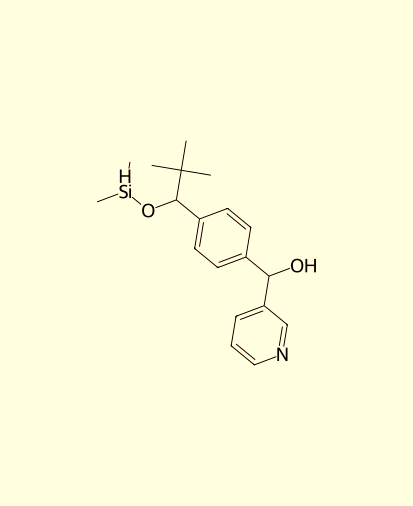 C[SiH](C)OC(c1ccc(C(O)c2cccnc2)cc1)C(C)(C)C